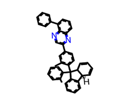 Cc1ccccc1C1(c2ccc(-c3cnc4c(-c5ccccc5)cccc4n3)cc2C)c2ccccc2[C@H]2C=CC=CC21